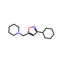 c1c(C2CCCCC2)noc1CN1CCCCC1